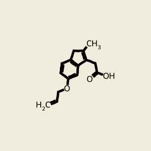 C=CCOc1ccc2c(c1)C(CC(=O)O)=C(C)C2